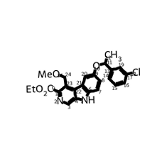 CCOC(=O)c1ncc2[nH]c3ccc(OC(C)c4cccc(Cl)c4)cc3c2c1COC